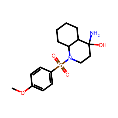 COc1ccc(S(=O)(=O)N2CCC(N)(O)C3CCCCC32)cc1